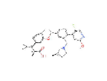 COc1cc(-c2ccc(C3CCc4ccc([C@H](C5CC5)[C@H](C)C(=O)O)cc4O3)cc2CN2CC[C@@H](C)C2)c(F)cn1